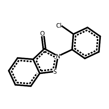 O=c1c2ccccc2sn1-c1ccccc1Cl